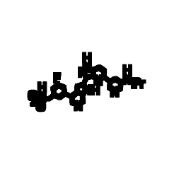 CC(C)Nc1cncc(-c2ccc3[nH]nc(-c4cc5c(-c6cc(F)cc(CNS(C)(=O)=O)c6)cncc5[nH]4)c3n2)c1